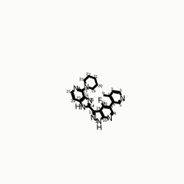 Cc1ccncc1-c1cnc2[nH]nc(-c3nc4c(N5CCCCC5)nccc4[nH]3)c2c1F